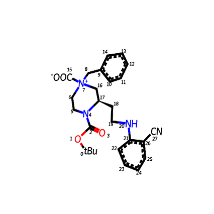 CC(C)(C)OC(=O)N1CC[N+](Cc2ccccc2)(C(=O)[O-])C[C@H]1CCNc1ccccc1C#N